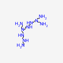 NCCNCCNCCN(CCN)CCNCCNCCN(CCN)CCN